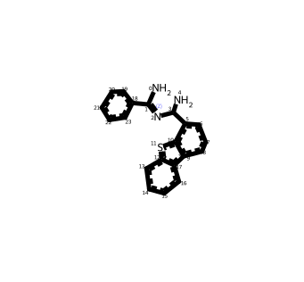 N/C(=N\C(N)c1cccc2c1sc1ccccc12)c1ccccc1